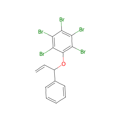 C=CC(Oc1c(Br)c(Br)c(Br)c(Br)c1Br)c1ccccc1